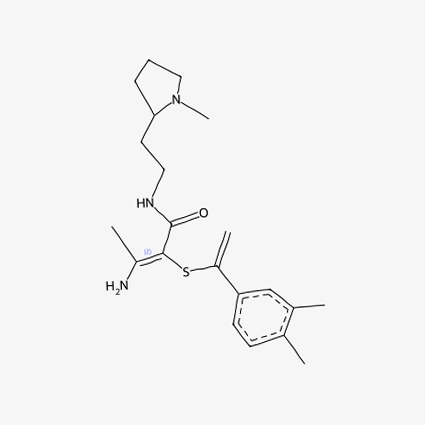 C=C(S/C(C(=O)NCCC1CCCN1C)=C(/C)N)c1ccc(C)c(C)c1